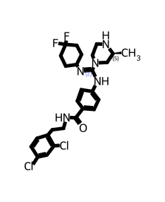 C[C@H]1CN(/C(=N\C2CCC(F)(F)CC2)Nc2ccc(C(=O)NCCc3ccc(Cl)cc3Cl)cc2)CCN1